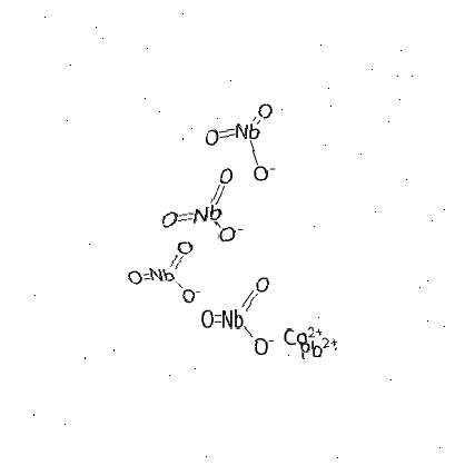 [Co+2].[O]=[Nb](=[O])[O-].[O]=[Nb](=[O])[O-].[O]=[Nb](=[O])[O-].[O]=[Nb](=[O])[O-].[Pb+2]